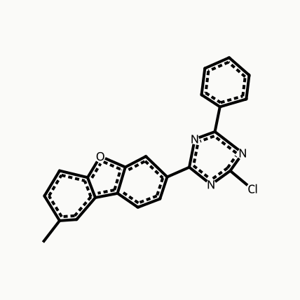 Cc1ccc2oc3cc(-c4nc(Cl)nc(-c5ccccc5)n4)ccc3c2c1